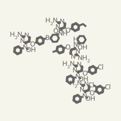 CCc1ccc(Oc2cnc(N)nc2NC2(O)CCCCC2)cc1.Cc1ccc(Oc2cnc(N)nc2NC2(O)CCCCC2)cc1.Nc1ncc(Oc2ccc(Br)cc2)c(N(O)c2ccccc2)n1.Nc1ncc(Oc2ccc(Cl)cc2)c(N(O)c2ccccc2)n1.Nc1ncc(Oc2ccc(Cl)cc2Cl)c(N(O)c2ccccc2)n1